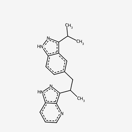 CC(C)c1n[nH]c2ccc(CC(C)c3n[nH]c4cccnc34)cc12